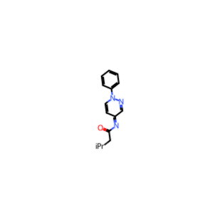 CC(C)CC(=O)N=c1ccn(-c2ccccc2)nc1